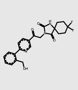 O=C(CN1C(=O)NC2(CCC(F)(F)CC2)C1=O)c1ccc(-c2ccccc2CO)nc1